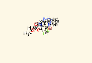 COCC1(C)Oc2cc(C(F)(F)F)c(C(=O)N(C(C)C)C3CCCCC3)cc2N(CCN)C1=O